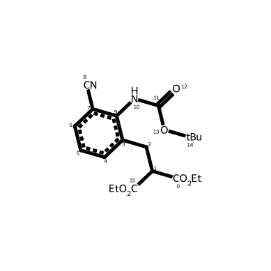 CCOC(=O)C(Cc1cccc(C#N)c1NC(=O)OC(C)(C)C)C(=O)OCC